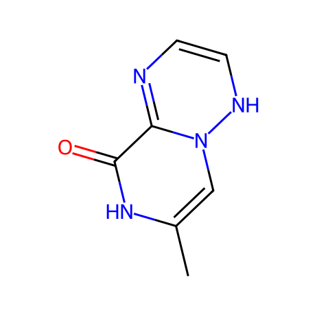 CC1=CN2NC=CN=C2C(=O)N1